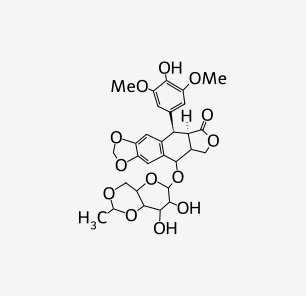 COc1cc([C@@H]2c3cc4c(cc3C(OC3OC5COC(C)OC5C(O)C3O)C3COC(=O)[C@@H]32)OCO4)cc(OC)c1O